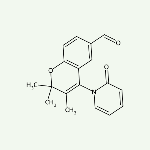 CC1=C(n2ccccc2=O)c2cc(C=O)ccc2OC1(C)C